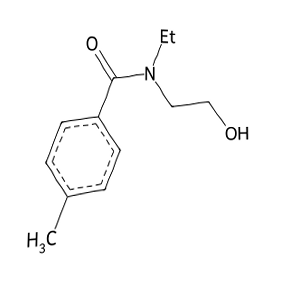 CCN(CCO)C(=O)c1ccc(C)cc1